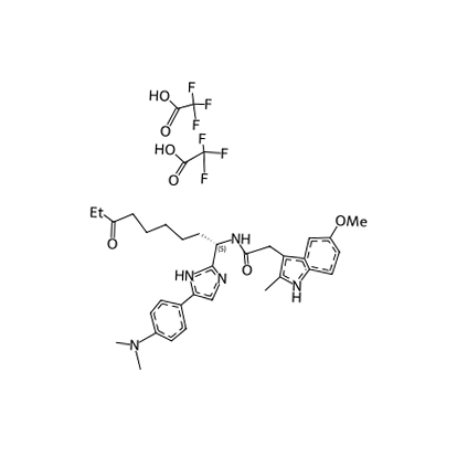 CCC(=O)CCCCC[C@H](NC(=O)Cc1c(C)[nH]c2ccc(OC)cc12)c1ncc(-c2ccc(N(C)C)cc2)[nH]1.O=C(O)C(F)(F)F.O=C(O)C(F)(F)F